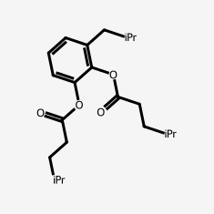 CC(C)CCC(=O)Oc1cccc(CC(C)C)c1OC(=O)CCC(C)C